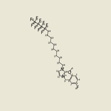 COc1ccc(F)cc1C[n+]1ccn(CCCCCCCCCCCC(F)(F)C(F)(F)C(F)(F)C(F)(F)F)c1